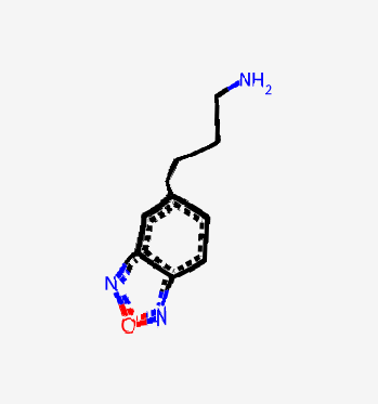 NCCCc1ccc2nonc2c1